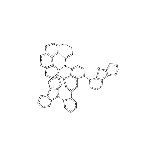 C1=C(N(c2ccc(-c3cccc4c3oc3ccccc34)cc2)c2ccccc2-c2cccc(-c3ccccc3-n3c4ccccc4c4ccccc43)c2)c2c(ccc3ccccc23)CC1